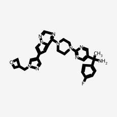 CC(N)(c1ccc(F)cc1)c1cnc(N2CCN(c3ncnn4cc(-c5cnn(CC6COC6)c5)cc34)CC2)nc1